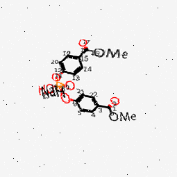 COC(=O)c1ccc(OP(=O)(O)Oc2ccc(C(=O)OC)cc2)cc1.[NaH]